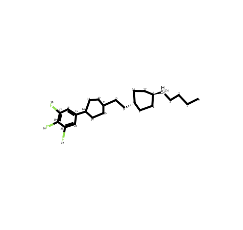 CCCC[SiH2][C@H]1CC[C@H](CCC2CCC(c3cc(F)c(F)c(F)c3)CC2)CC1